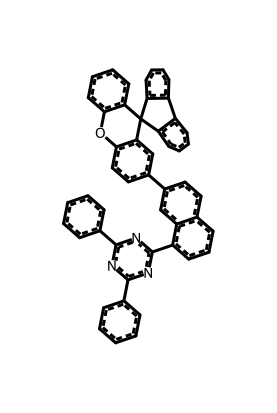 c1ccc(-c2nc(-c3ccccc3)nc(-c3cccc4ccc(-c5ccc6c(c5)C5(c7ccccc7O6)c6ccccc6-c6ccccc65)cc34)n2)cc1